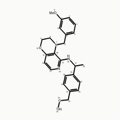 COc1cccc(CN2CCOc3ccnc(NC(C)c4ccc(COO)cc4)c32)c1